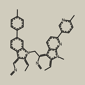 C=N/C=c1\c(=C/C)n(C/C(N=C)=c2/c(=C\C)n(C)c3nc(-c4ccc(C)nc4)ccc23)c2cc(-c3ccc(C)cc3)ccc12